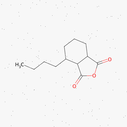 CCCCC1CCCC2C(=O)OC(=O)C12